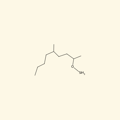 CCCCC(C)CCC(C)O[SiH3]